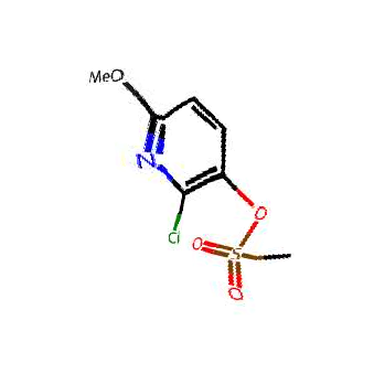 COc1ccc(OS(C)(=O)=O)c(Cl)n1